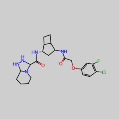 O=C(COc1ccc(Cl)c(F)c1)NC1C[C@H](NC(=O)C2NNC3CCCCN32)C2CCC12